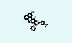 C#Cc1c(F)ccc2cc(O)cc(-c3ncc4c(N5CCOCC5)nc(N5CC[C@H](N(C)C)C5)nc4c3F)c12